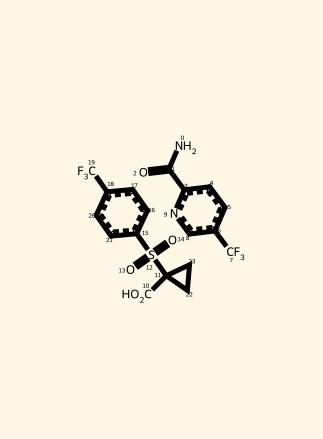 NC(=O)c1ccc(C(F)(F)F)cn1.O=C(O)C1(S(=O)(=O)c2ccc(C(F)(F)F)cc2)CC1